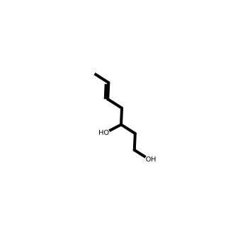 CC=CCC(O)CCO